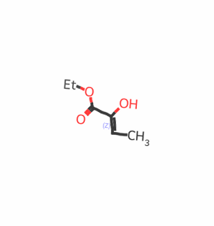 C/C=C(\O)C(=O)OCC